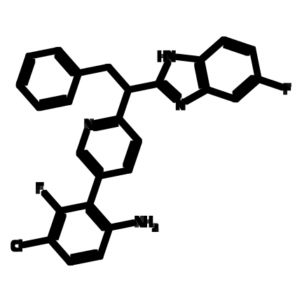 Nc1ccc(Cl)c(F)c1-c1ccc(C(Cc2ccccc2)c2nc3cc(F)ccc3[nH]2)nc1